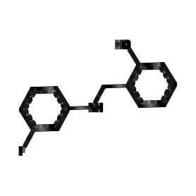 Oc1ccccc1CNc1cccc(F)c1